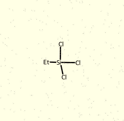 CC[Si](Cl)(Cl)Cl